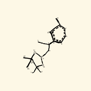 Cc1cccc(C(C)CB2OC(C)(C)C(C)(C)O2)c1